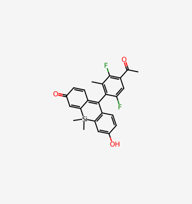 CC(=O)c1cc(F)c(C2=C3C=CC(=O)C=C3[Si](C)(C)c3cc(O)ccc32)c(C)c1F